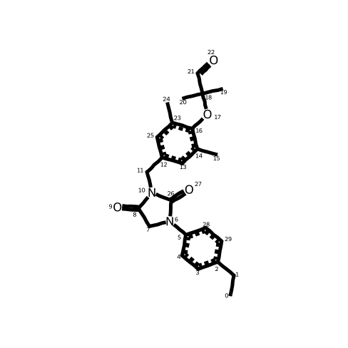 CCc1ccc(N2CC(=O)N(Cc3cc(C)c(OC(C)(C)C=O)c(C)c3)C2=O)cc1